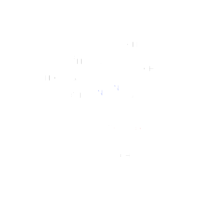 CC1OC(Cn2nc(C(C)(C)C)cc2C(C)C)O1